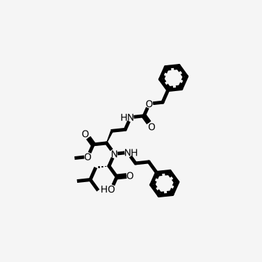 COC(=O)[C@@H](CCNC(=O)OCc1ccccc1)N(NCCc1ccccc1)[C@@H](CC(C)C)C(=O)O